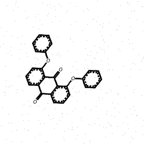 O=C1c2cccc(Oc3ccccc3)c2C(=O)c2c(Oc3ccccc3)cccc21